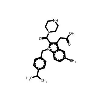 Bc1ccc2c(c1)c(CC(=O)O)c(C(=O)N1CCNCC1)n2Cc1ccc(C(C)C)cc1